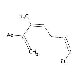 C=C(C(C)=O)/C(C)=C\C/C=C\CC